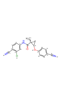 C[C@@]1(C(=O)Nc2ccc(C#N)c(Cl)c2)CC1Oc1ccc(C#N)cc1